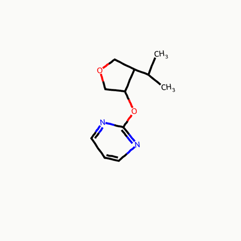 CC(C)C1COCC1Oc1ncccn1